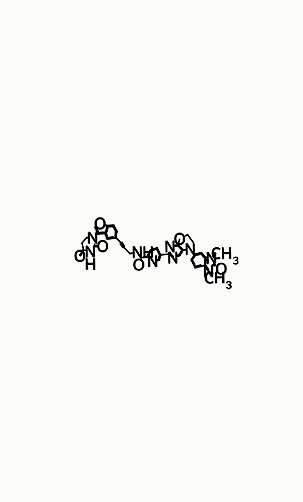 Cn1c(=O)n(C)c2cc(N3CCOc4nc(-c5ccc(C(=O)NCC#Cc6ccc7occ(N8CCC(=O)NC8=O)c7c6)nc5)ncc43)ccc21